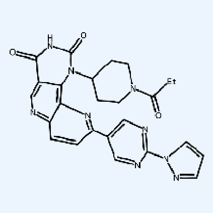 CCC(=O)N1CCC(n2c(=O)[nH]c(=O)c3cnc4ccc(-c5cnc(-n6cccn6)nc5)nc4c32)CC1